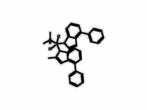 CC1=Cc2c(-c3ccccc3)cccc2[CH]1[Ti]([Cl])([Cl])([CH]1C(C)=Cc2c(-c3ccccc3)cccc21)[SiH](C)C